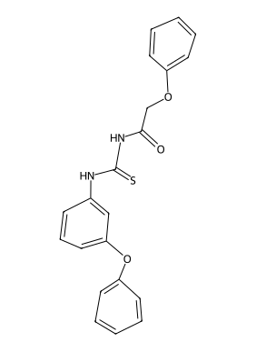 O=C(COc1ccccc1)NC(=S)Nc1cccc(Oc2ccccc2)c1